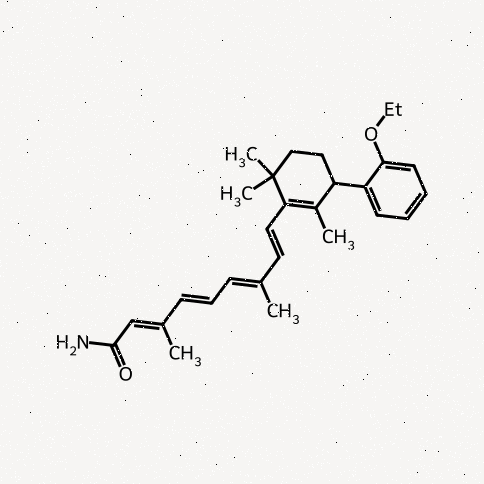 CCOc1ccccc1C1CCC(C)(C)C(C=CC(C)=CC=C/C(C)=C/C(N)=O)=C1C